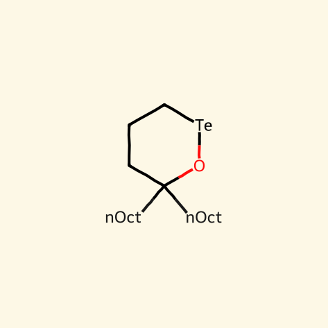 CCCCCCCCC1(CCCCCCCC)CCC[Te]O1